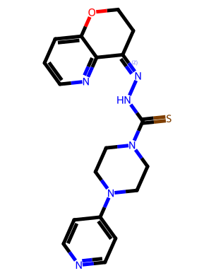 S=C(N/N=C1/CCOc2cccnc21)N1CCN(c2ccncc2)CC1